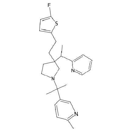 Cc1ccc(C(C)(C)N2CCC(CCc3ccc(F)s3)(C(C)c3ccccn3)C2)cn1